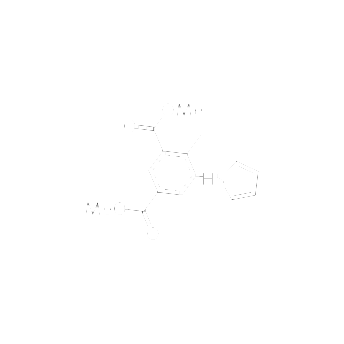 COC(=O)c1cc(C(=O)OC)c(C)c([SH]2C=CC=C2)c1